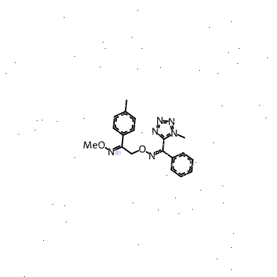 CO/N=C(/CON=C(c1ccccc1)c1nnnn1C)c1ccc(C)cc1